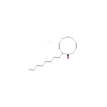 CCCCCCCCC1CCCCCCCCC1=O.OO